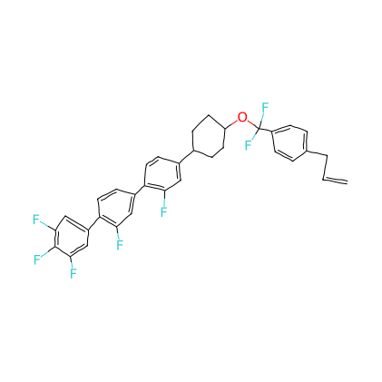 C=CCc1ccc(C(F)(F)OC2CCC(c3ccc(-c4ccc(-c5cc(F)c(F)c(F)c5)c(F)c4)c(F)c3)CC2)cc1